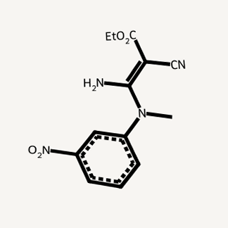 CCOC(=O)C(C#N)=C(N)N(C)c1cccc([N+](=O)[O-])c1